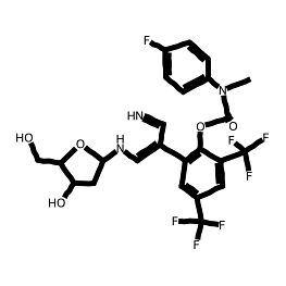 CN(C(=O)Oc1c(/C(C=N)=C/NC2CC(O)C(CO)O2)cc(C(F)(F)F)cc1C(F)(F)F)c1ccc(F)cc1